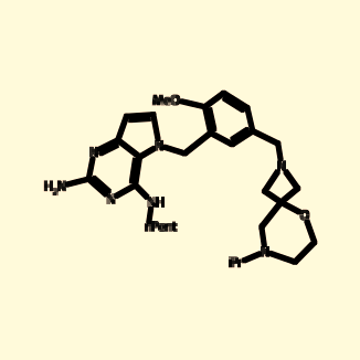 CCCCCNc1nc(N)nc2ccn(Cc3cc(CN4CC5(C4)CN(C(C)C)CCO5)ccc3OC)c12